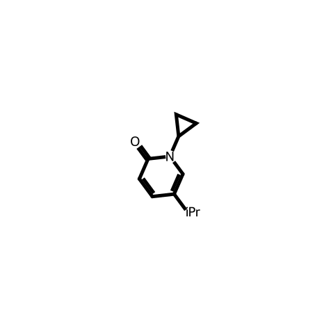 CC(C)c1ccc(=O)n(C2CC2)c1